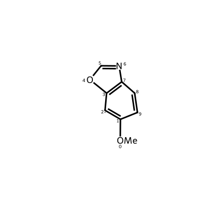 COc1[c]c2ocnc2cc1